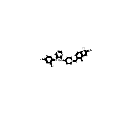 Cc1c(CN2CCC(Nc3ncncc3Nc3ccc(F)cc3Cl)CC2)ccc2[nH]c(C#N)cc12